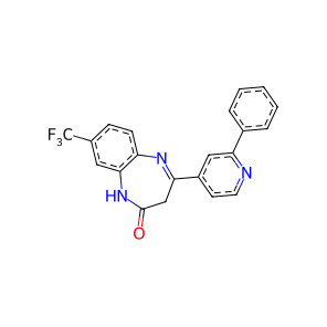 O=C1CC(c2ccnc(-c3ccccc3)c2)=Nc2ccc(C(F)(F)F)cc2N1